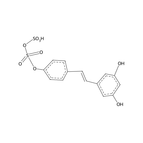 O=S(=O)(O)OS(=O)(=O)Oc1ccc(C=Cc2cc(O)cc(O)c2)cc1